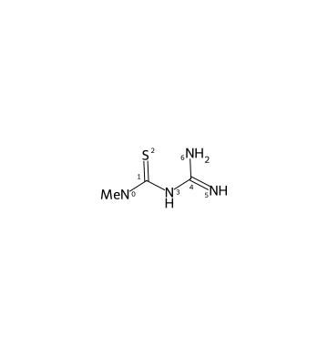 CNC(=S)NC(=N)N